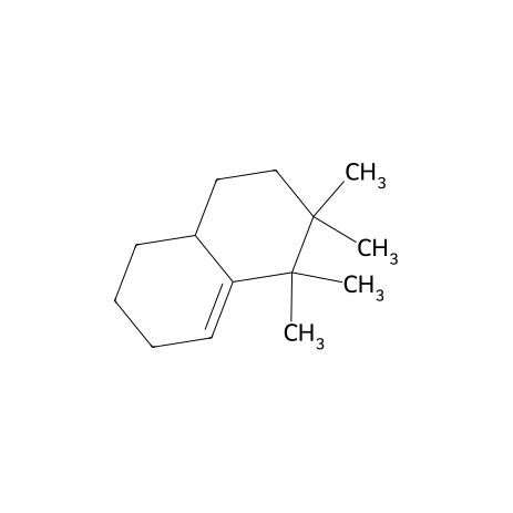 CC1(C)CCC2CCCC=C2C1(C)C